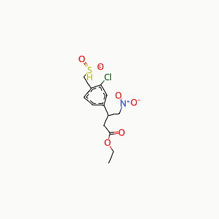 CCOC(=O)CC(C[N+](=O)[O-])c1ccc(C[SH](=O)=O)c(Cl)c1